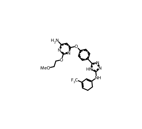 COCCOc1nc(N)cc(Oc2ccc(-c3nnc(NC4=CC(C(F)(F)F)=CCC4)[nH]3)cc2)n1